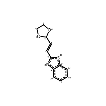 C(=C\C1OCCO1)/c1nc2ccccc2s1